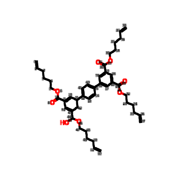 C=CCCCCOC(=O)C1=CC(c2ccc(-c3cc(C(=O)OCCCCC=C)cc(C(=O)OCCCCC=C)c3)cc2)CC(C(O)OCCCCC=C)=C1